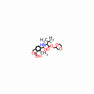 Cc1c(C(=O)NC(C(=O)OCC2COCCO2)C(C)C)ccc2c1B(O)OC2